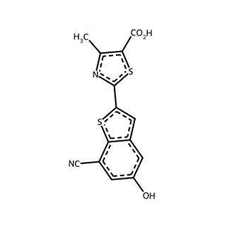 Cc1nc(-c2cc3cc(O)cc(C#N)c3s2)sc1C(=O)O